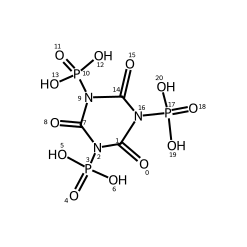 O=c1n(P(=O)(O)O)c(=O)n(P(=O)(O)O)c(=O)n1P(=O)(O)O